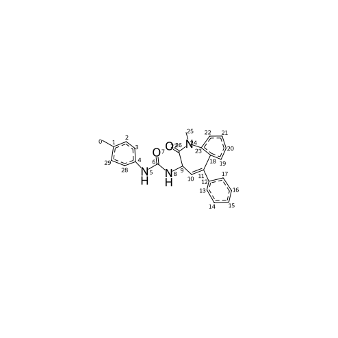 Cc1ccc(NC(=O)NC2C=C(c3ccccc3)c3ccccc3N(C)C2=O)cc1